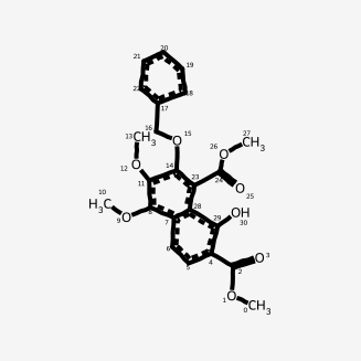 COC(=O)c1ccc2c(OC)c(OC)c(OCc3ccccc3)c(C(=O)OC)c2c1O